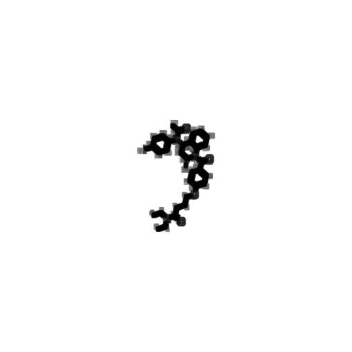 CCN(CC)C(=O)CCCOc1ccc(C(=O)N2c3ccccc3[C@H](N(C(C)=O)c3ccc(I)cc3)C[C@@H]2C)cc1